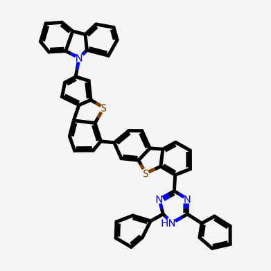 c1ccc(C2=NC(c3cccc4c3sc3cc(-c5cccc6c5sc5cc(-n7c8ccccc8c8ccccc87)ccc56)ccc34)=NC(c3ccccc3)N2)cc1